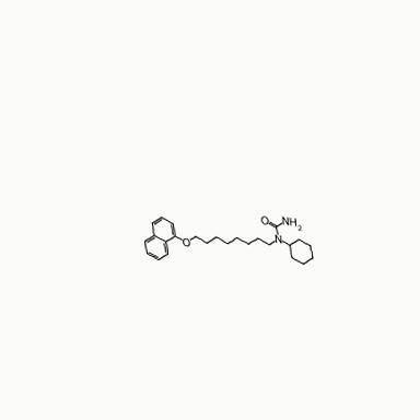 NC(=O)N(CCCCCCCCOc1cccc2ccccc12)C1CCCCC1